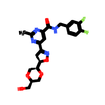 Cc1nc(C(=O)NCc2ccc(F)c(F)c2)cc(C2=NO[C@H]([C@H]3CO[C@H](CO)CO3)C2)n1